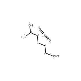 CCCCCCCCCC(O)O.O=C=O